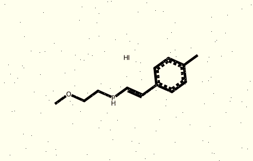 COCCPC=Cc1ccc(C)cc1.I